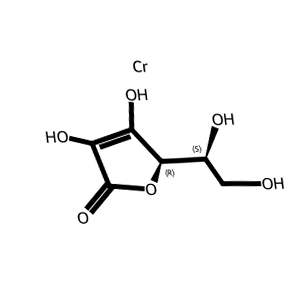 O=C1O[C@H]([C@@H](O)CO)C(O)=C1O.[Cr]